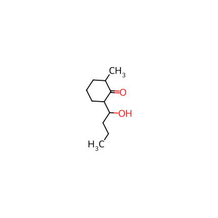 CCCC(O)C1CCCC(C)C1=O